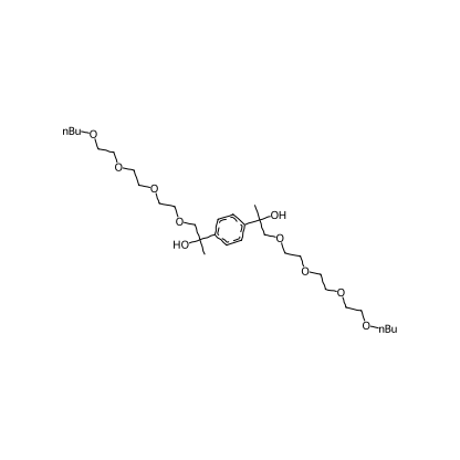 CCCCOCCOCCOCCOCC(C)(O)c1ccc(C(C)(O)COCCOCCOCCOCCCC)cc1